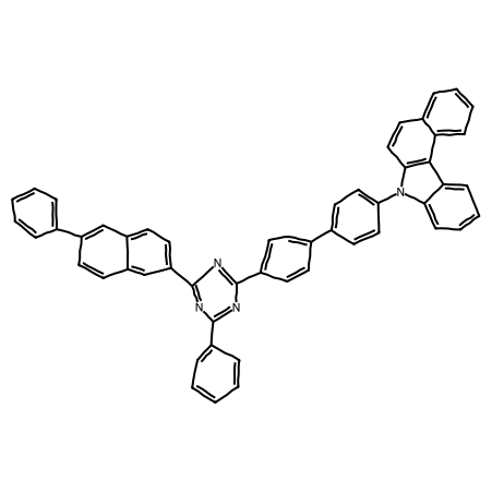 c1ccc(-c2ccc3cc(-c4nc(-c5ccccc5)nc(-c5ccc(-c6ccc(-n7c8ccccc8c8c9ccccc9ccc87)cc6)cc5)n4)ccc3c2)cc1